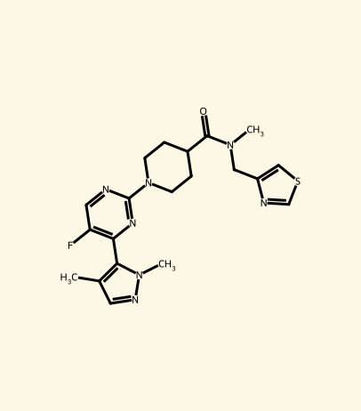 Cc1cnn(C)c1-c1nc(N2CCC(C(=O)N(C)Cc3cscn3)CC2)ncc1F